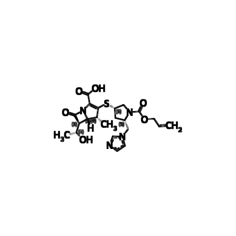 C=CCOC(=O)N1C[C@@H](SC2=C(C(=O)O)N3C(=O)[C@H]([C@@H](C)O)[C@H]3[C@H]2C)C[C@H]1Cn1ccnc1